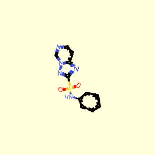 O=S(=O)(Nc1ccccc1)c1nc2ccncn2n1